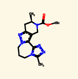 Cc1nnc2n1CCCn1nc3c(c1-2)CN(C(=O)OC(C)(C)C)[C@H](C)C3